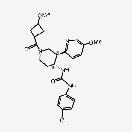 COc1ccc([C@@H]2CN(C(=O)C3CC(OC)C3)CC[C@H]2NC(=O)Nc2ccc(Cl)cc2)nc1